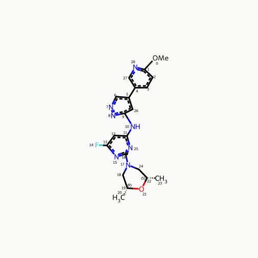 COc1ccc(-c2cnnc(Nc3cc(F)nc(N4C[C@@H](C)O[C@@H](C)C4)n3)c2)cn1